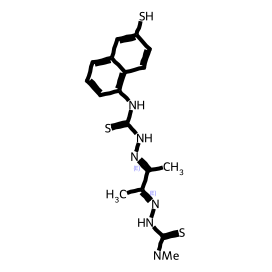 CNC(=S)N/N=C(C)/C(C)=N/NC(=S)Nc1cccc2cc(S)ccc12